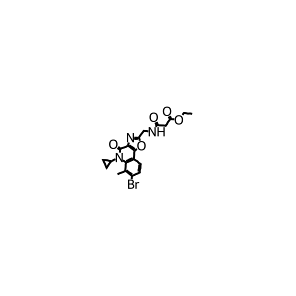 CCOC(=O)CC(=O)NCc1nc2c(=O)n(C3CC3)c3c(C)c(Br)ccc3c2o1